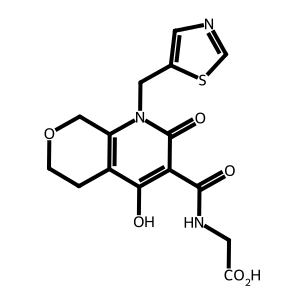 O=C(O)CNC(=O)c1c(O)c2c(n(Cc3cncs3)c1=O)COCC2